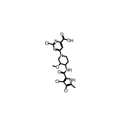 COC1CN(c2cc(C(=O)O)nc(Cl)n2)CCC1NC(=O)c1[nH]c(C)c(Cl)c1Cl